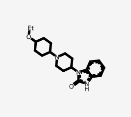 CCOC1CCC(N2CCC(n3c(=O)[nH]c4ccccc43)CC2)CC1